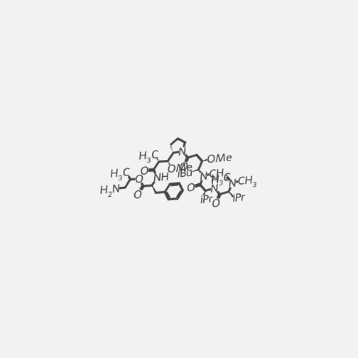 CC[C@H](C)[C@@H]([C@@H](CC(=O)N1CCC[C@H]1[C@H](OC)[C@@H](C)C(=O)N[C@@H](Cc1ccccc1)C(=O)OC(C)CN)OC)N(C)C(=O)[C@@H](NC(=O)[C@H](C(C)C)N(C)C)C(C)C